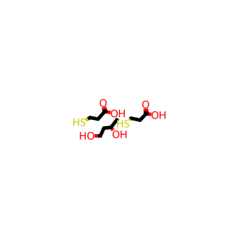 CC(O)CCO.O=C(O)CCS.O=C(O)CCS